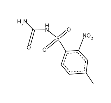 Cc1ccc(S(=O)(=O)NC(N)=O)c([N+](=O)[O-])c1